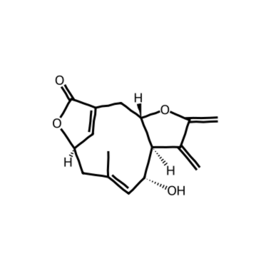 C=C1O[C@H]2CC3=C[C@@H](C/C(C)=C/[C@@H](O)[C@@H]2C1=C)OC3=O